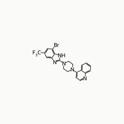 FC(F)(F)c1cc(Br)c2[nH]c(N3CCN(c4ccnc5ccccc45)CC3)nc2c1